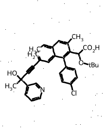 C=C(C#CC(C)(O)c1cccnc1)/C=c1/c(-c2ccc(Cl)cc2)c(C(OC(C)(C)C)C(=O)O)c(C)c/c1=C/C